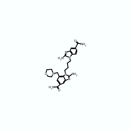 NC(=O)c1ccc2c(c1)nc(N)n2CCCCn1c(N)nc2cc(C(N)=O)cc(CN3CCOCC3)c21